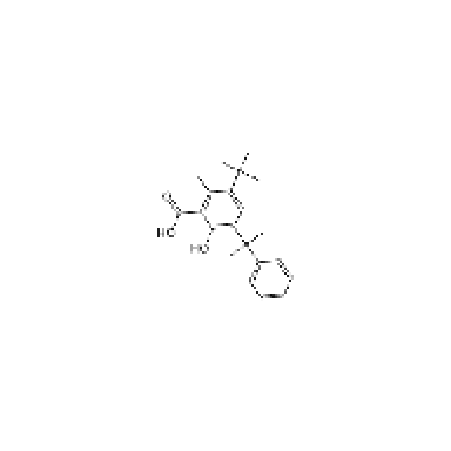 Cc1c(C(C)(C)C)cc(C(C)(C)c2ccccc2)c(O)c1C(=O)O